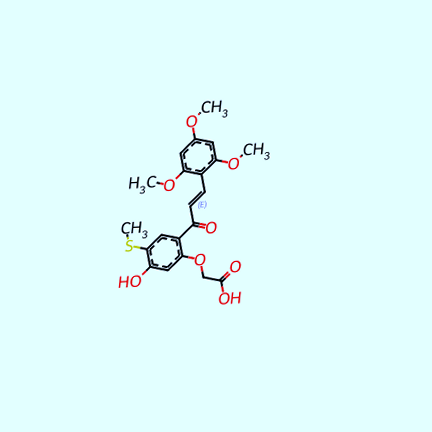 COc1cc(OC)c(/C=C/C(=O)c2cc(SC)c(O)cc2OCC(=O)O)c(OC)c1